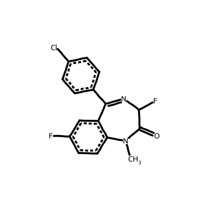 CN1C(=O)C(F)N=C(c2ccc(Cl)cc2)c2cc(F)ccc21